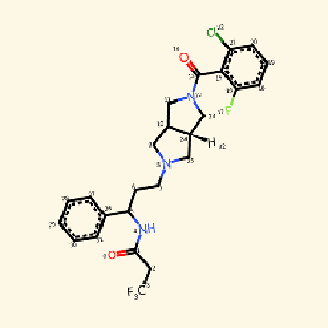 O=C(CC(F)(F)F)NC(CCN1CC2CN(C(=O)c3c(F)cccc3Cl)C[C@@H]2C1)c1ccccc1